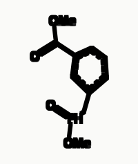 COC(=O)c1cccc(C[PH](=O)OC)c1